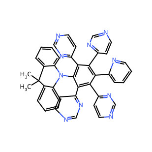 CC1(C)c2ccccc2N(c2c(-c3ccncn3)c(-c3ccncn3)c(-c3ccccn3)c(-c3ccncn3)c2-c2ccncn2)c2ccccc21